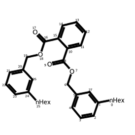 CCCCCCc1cccc(COC(=O)c2ccccc2C(=O)OCc2cccc(CCCCCC)c2)c1